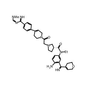 CCN(C(=O)[C@@H]1CCN(CC(=O)N2CC=C(c3ccc(C(=N)/N=C\NC)cc3)CC2)C1)c1ccc(N)c(C(=N)C2=CCOCC2)c1